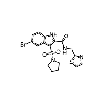 O=C(NCc1nccs1)c1[nH]c2ccc(Br)cc2c1S(=O)(=O)N1CCCC1